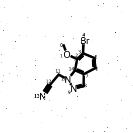 COc1c(Br)ccc2cnn(CC#N)c12